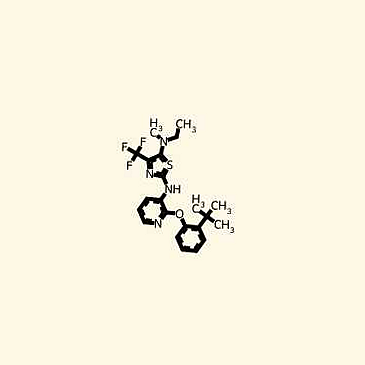 CCN(C)c1sc(Nc2cccnc2Oc2ccccc2C(C)(C)C)nc1C(F)(F)F